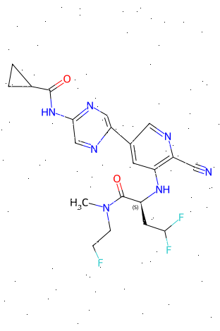 CN(CCF)C(=O)[C@H](CC(F)F)Nc1cc(-c2cnc(NC(=O)C3CC3)cn2)cnc1C#N